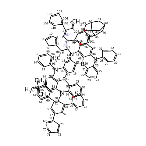 C=C/C(=C\C(=C(/[C@H](C)C1=CC=CC1)N1c2cc3c(cc2B2c4ccccc4N(c4ccccc4)c4cc(N5C6CC7CC(C6)CC5C7)cc1c42)B1c2ccccc2N(c2c(-c4ccccc4)cc(-c4ccccc4)cc2-c2ccccc2)c2cc(C(C)(C)C)cc(c21)N3c1ccccc1)c1ccccc1)c1ccccc1